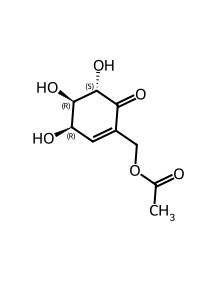 CC(=O)OCC1=C[C@@H](O)[C@@H](O)[C@H](O)C1=O